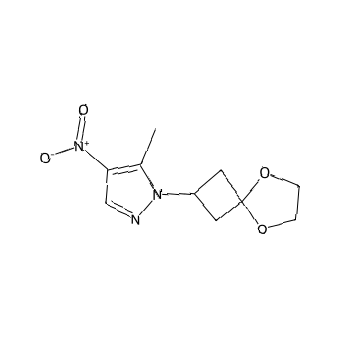 Cc1c([N+](=O)[O-])cnn1C1CC2(C1)OCCO2